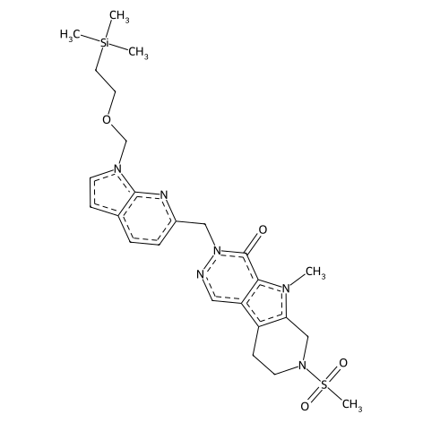 Cn1c2c(c3cnn(Cc4ccc5ccn(COCC[Si](C)(C)C)c5n4)c(=O)c31)CCN(S(C)(=O)=O)C2